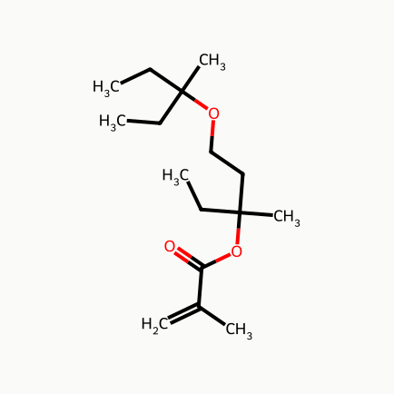 C=C(C)C(=O)OC(C)(CC)CCOC(C)(CC)CC